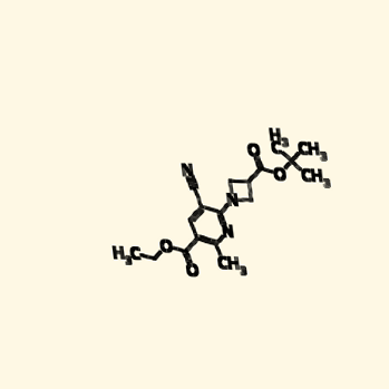 CCOC(=O)c1cc(C#N)c(N2CC(C(=O)OC(C)(C)C)C2)nc1C